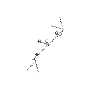 CCCCCCC(/C=C\COC(=O)CCCCCCCN(CCCCCCCC(=O)OCC(C)CC(CCCCCC)CCCCCC)C(=O)CCCN(C)C)CCCCCC